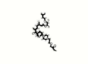 CCC(=O)COCCN1CCN(c2ccc(C(=O)C(C)CCC(C)CCO[C@H](C)[C@@H](C)OCCC(C)C)cn2)CC1